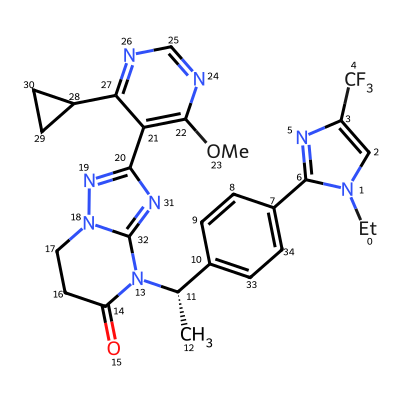 CCn1cc(C(F)(F)F)nc1-c1ccc([C@H](C)N2C(=O)CCn3nc(-c4c(OC)ncnc4C4CC4)nc32)cc1